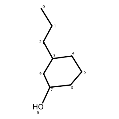 CC[CH]C1CCCC(O)C1